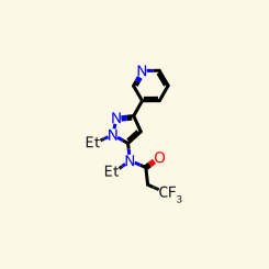 CCN(C(=O)CC(F)(F)F)c1cc(-c2cccnc2)nn1CC